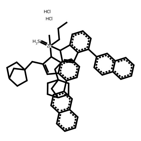 CC[CH2][Zr]([CH3])(=[SiH2])([CH]1C(CC23CCC(CC2)C3)=Cc2c(-c3ccc4ccccc4c3)cccc21)[CH]1C(CC23CCC(CC2)C3)=Cc2c(-c3ccc4ccccc4c3)cccc21.Cl.Cl